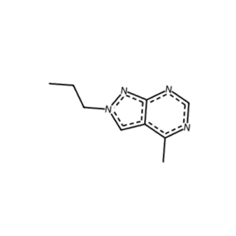 CCCn1cc2c(C)ncnc2n1